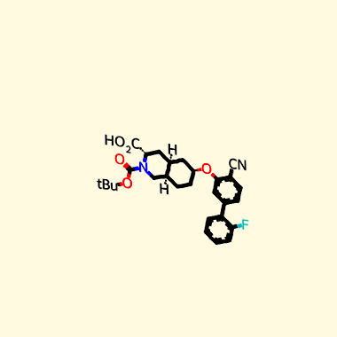 CC(C)(C)OC(=O)N1C[C@@H]2CC[C@H](Oc3cc(-c4ccccc4F)ccc3C#N)C[C@@H]2C[C@H]1C(=O)O